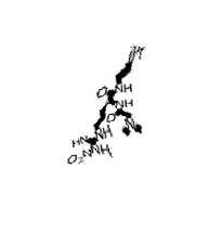 CC(C)CCNC(=O)[C@H](CCCNC(=N)N[N+](=O)[O-])NC(=O)CN(C)C